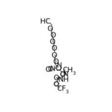 C#CCOCCOCCOCCOCCOCCOCc1ncc(-c2cc(NC(=O)c3cccc(C(F)(F)F)c3)cnc2C)cc1N1CCOCC1